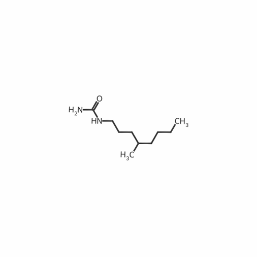 CCCCC(C)CCCNC(N)=O